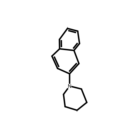 [c]1ccc2cc(N3CC[CH]CC3)ccc2c1